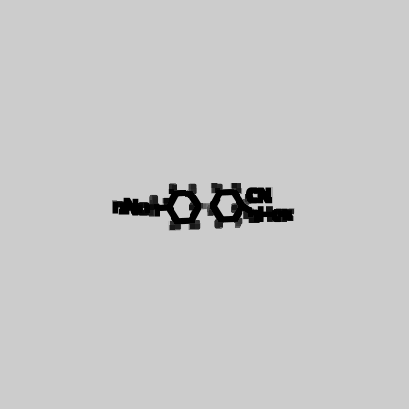 CCCCCCCCCC1CCC([C@H]2CC[C@](C#N)(CCCCCC)CC2)CC1